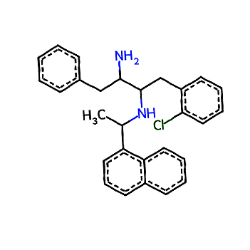 CC(NC(Cc1ccccc1Cl)C(N)Cc1ccccc1)c1cccc2ccccc12